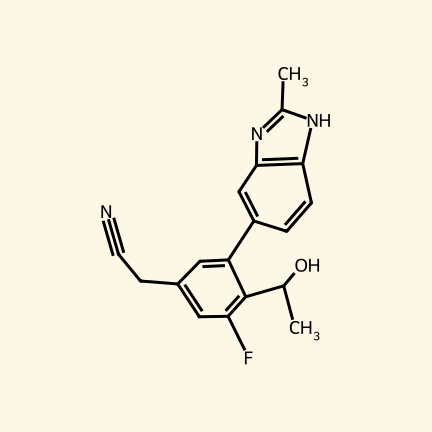 Cc1nc2cc(-c3cc(CC#N)cc(F)c3C(C)O)ccc2[nH]1